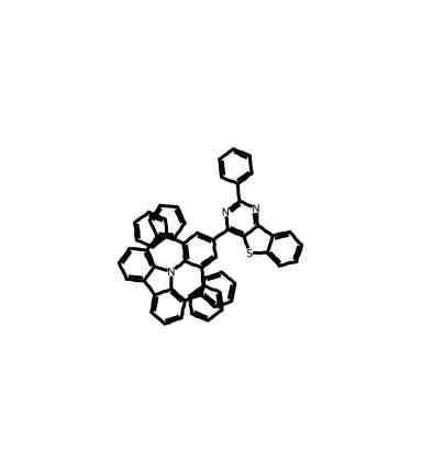 c1ccc(-c2nc(-c3cc(-c4ccccc4)c(-n4c5c(-c6ccccc6)cccc5c5cccc(-c6ccccc6)c54)c(-c4ccccc4)c3)c3sc4ccccc4c3n2)cc1